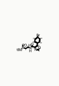 CC(C)(C)N(CCNC(=O)c1ncoc1-c1ccc(Br)cc1)C(=O)O